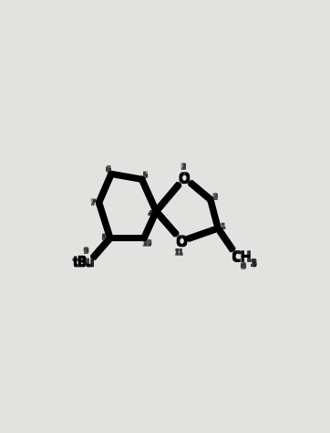 CC1COC2(CCCC(C(C)(C)C)C2)O1